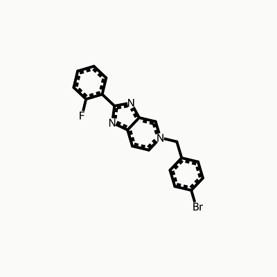 Fc1ccccc1-c1nc2ccn(Cc3ccc(Br)cc3)cc-2n1